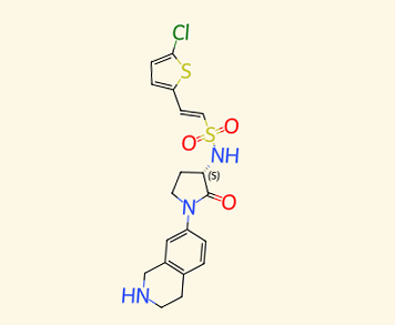 O=C1[C@@H](NS(=O)(=O)C=Cc2ccc(Cl)s2)CCN1c1ccc2c(c1)CNCC2